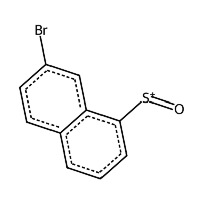 O=[S+]c1cccc2ccc(Br)cc12